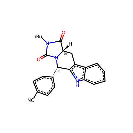 CCCCN1C(=O)[C@@H]2Cc3c([nH]c4ccccc34)[C@H](c3ccc(C#N)cc3)N2C1=O